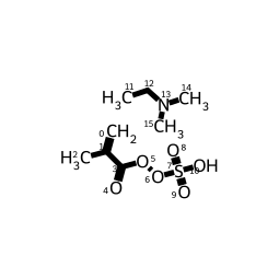 C=C(C)C(=O)OOS(=O)(=O)O.CCN(C)C